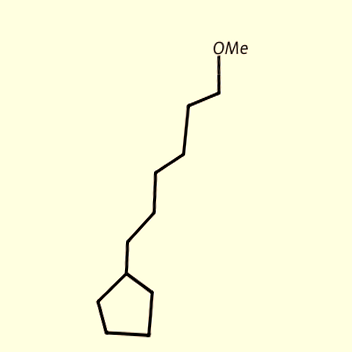 COCCCCCCC1CCCC1